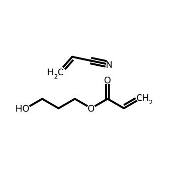 C=CC#N.C=CC(=O)OCCCO